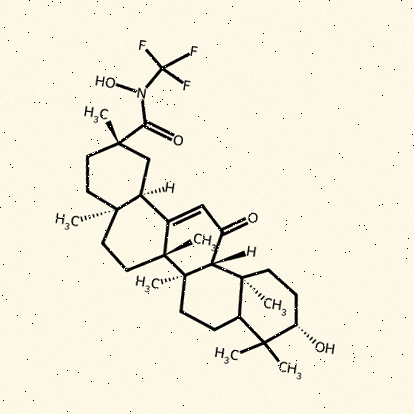 CC1(C)C2CC[C@]3(C)[C@H](C(=O)C=C4[C@@H]5C[C@@](C)(C(=O)N(O)C(F)(F)F)CC[C@]5(C)CC[C@]43C)[C@@]2(C)CC[C@@H]1O